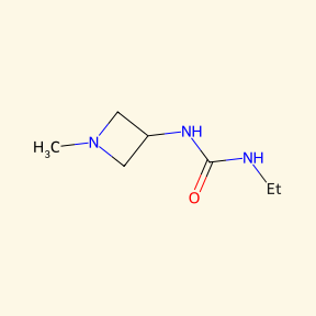 CCNC(=O)NC1CN(C)C1